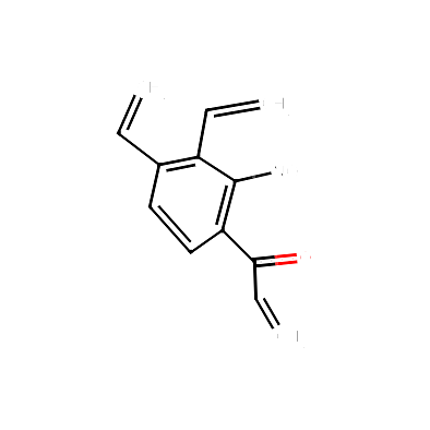 C=CC(=O)c1ccc(C=C)c(C=C)c1[N+](=O)[O-]